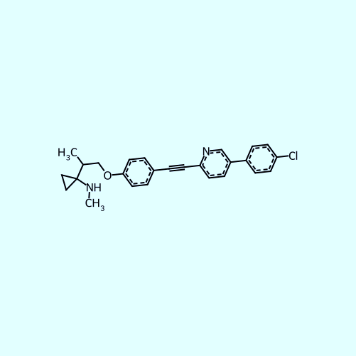 CNC1(C(C)COc2ccc(C#Cc3ccc(-c4ccc(Cl)cc4)cn3)cc2)CC1